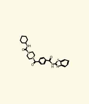 O=C(Nc1nc2ccccc2s1)c1ccc(C(=O)N2CCN(C(=O)NC3CCCCC3)CC2)cc1